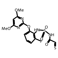 COc1cc(OC)nc(Oc2cccc(F)c2NS(=O)(=O)NC(=O)C=S)n1